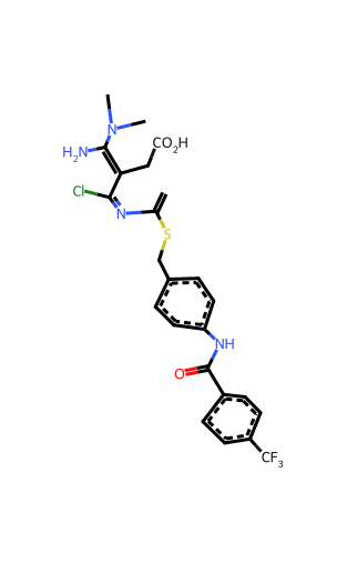 C=C(/N=C(Cl)\C(CC(=O)O)=C(/N)N(C)C)SCc1ccc(NC(=O)c2ccc(C(F)(F)F)cc2)cc1